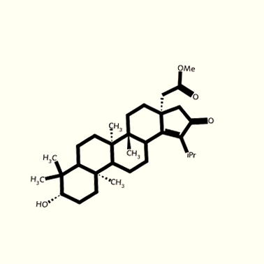 COC(=O)C[C@@]12CC[C@]3(C)C(CCC4[C@@]5(C)CC[C@H](O)C(C)(C)C5CC[C@]43C)C1=C(C(C)C)C(=O)C2